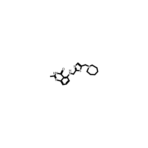 Cc1nc2cccc(NCc3ncc(CN4CCCCCC4)s3)c2c(=O)[nH]1